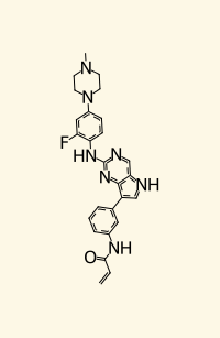 C=CC(=O)Nc1cccc(-c2c[nH]c3cnc(Nc4ccc(N5CCN(C)CC5)cc4F)nc23)c1